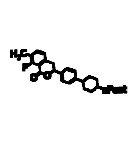 CCCCCC1CCC(c2ccc(C3Cc4ccc(C)c(F)c4C(=O)O3)cc2)CC1